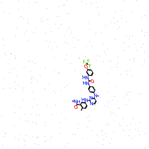 CNC(=O)c1cc(Nc2nccc(N(C)c3ccc(NC(=O)Nc4cccc(OC(F)(F)F)c4)cc3)n2)ccc1C